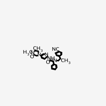 CC1CN(c2ccc(NC(=O)[C@@H](NC[C@@H](C)c3ccc(C#N)cc3)c3ccccc3)nc2)CC(=O)N1C